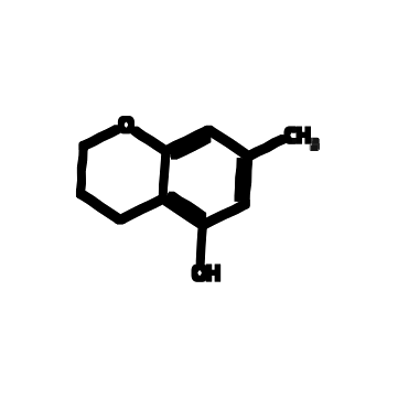 Cc1cc(O)c2c(c1)OCCC2